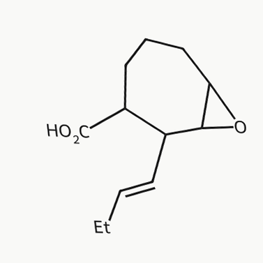 CCC=CC1C(C(=O)O)CCCC2OC21